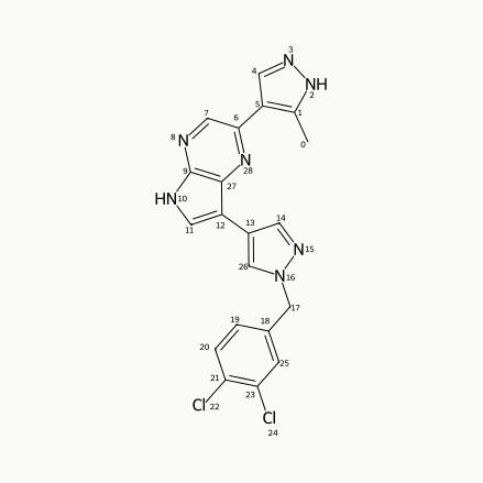 Cc1[nH]ncc1-c1cnc2[nH]cc(-c3cnn(Cc4ccc(Cl)c(Cl)c4)c3)c2n1